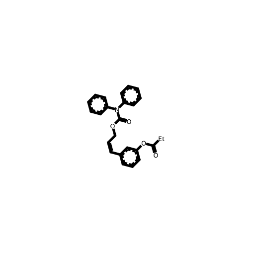 CCC(=O)Oc1cccc(/C=C\COC(=O)N(c2ccccc2)c2ccccc2)c1